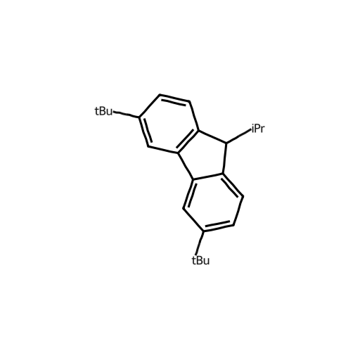 CC(C)C1c2ccc(C(C)(C)C)cc2-c2cc(C(C)(C)C)ccc21